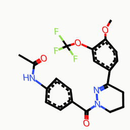 COc1ccc(C2=NN(C(=O)c3ccc(NC(C)=O)cc3)CCC2)cc1OC(F)(F)F